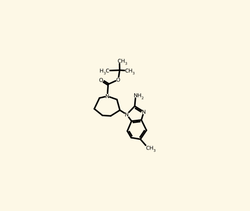 Cc1ccc2c(c1)nc(N)n2C1CCCCN(C(=O)OC(C)(C)C)C1